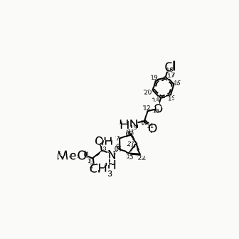 COC(C)C(O)N[C@@H]1C[C@H](NC(=O)COc2ccc(Cl)cc2)C2CC21